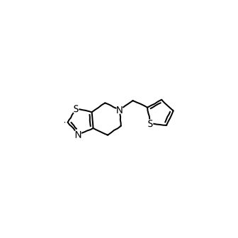 [c]1nc2c(s1)CN(Cc1cccs1)CC2